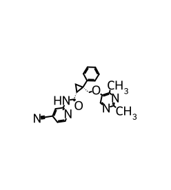 Cc1ncc(OC[C@@]2(c3ccccc3)C[C@H]2C(=O)Nc2cc(C#N)ccn2)c(C)n1